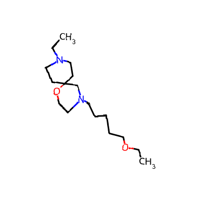 CCOCCCCCN1CCOC2(CCN(CC)CC2)C1